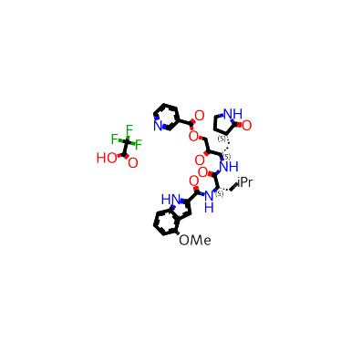 COc1cccc2[nH]c(C(=O)N[C@@H](CC(C)C)C(=O)N[C@@H](C[C@@H]3CCNC3=O)C(=O)COC(=O)c3cccnc3)cc12.O=C(O)C(F)(F)F